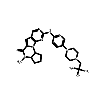 CN1C(=O)c2cc3cnc(Nc4ccc(N5CCN(CC(C)(C)O)CC5)cn4)nc3n2C2CCCC21